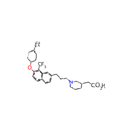 CCC1CCC(Oc2ccc3ccc(CCCN4CCCC(CC(=O)O)C4)cc3c2C(F)(F)F)CC1